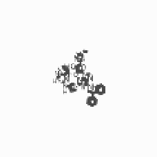 CCn1nnc([C@H]2O[C@@H](n3cnc4c(NCC(c5ccccc5)c5ccccc5)nc(N5CCC(NC(=Nc6cccnc6)NC#N)C5)nc43)[C@H](O)[C@@H]2O)n1